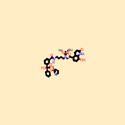 CC(C)(C)OC(=O)N(CCCCNC(=O)c1cccc(C(O)(C(=O)O[C@H]2CN3CCC2CC3)c2ccccc2)c1)C[C@H](O[Si](C)(C)C(C)(C)C)c1ccc(O)c2[nH]c(=O)ccc12